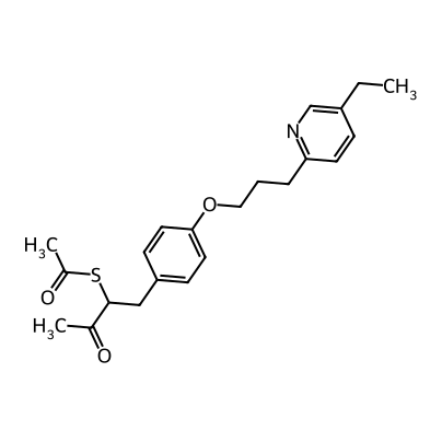 CCc1ccc(CCCOc2ccc(CC(SC(C)=O)C(C)=O)cc2)nc1